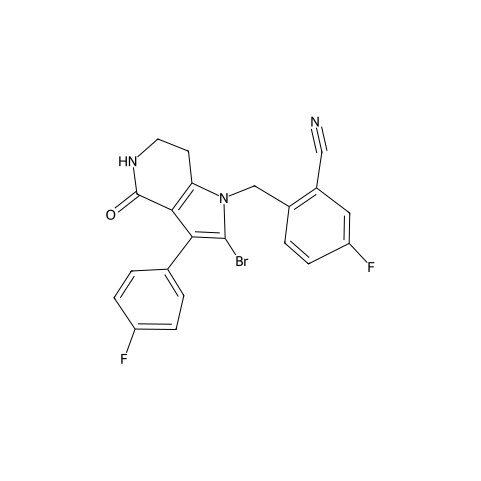 N#Cc1cc(F)ccc1Cn1c(Br)c(-c2ccc(F)cc2)c2c1CCNC2=O